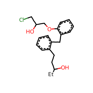 CCC(O)CCc1ccccc1Cc1ccccc1OCC(O)CCl